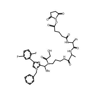 CC(NC(=O)C(NC(=O)CCCC(=O)ON1C(=O)CCC1=O)C(C)C)C(=O)NCCCN(C(=O)CO)C(c1nc(-c2cc(F)ccc2F)cn1Cc1ccccc1)C(C)(C)C